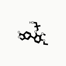 CCOc1ccc(-c2ccc3c(c2)COC3=O)c(OCC(C)(C)CO)c1OC